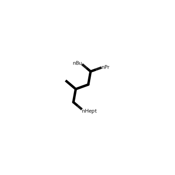 CCCCCCCCC(C)CC(CCC)CCCC